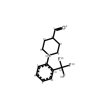 O=CC1CCN(c2ccccc2C(F)(F)F)CC1